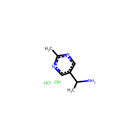 Cc1ncc(C(C)N)cn1.Cl.Cl